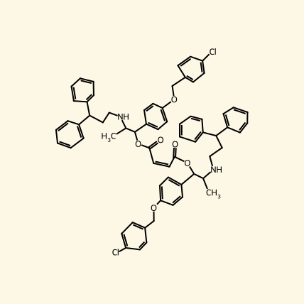 CC(NCCC(c1ccccc1)c1ccccc1)C(OC(=O)/C=C\C(=O)OC(c1ccc(OCc2ccc(Cl)cc2)cc1)C(C)NCCC(c1ccccc1)c1ccccc1)c1ccc(OCc2ccc(Cl)cc2)cc1